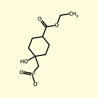 CCOC(=O)C1CCC(O)(C[N+](=O)[O-])CC1